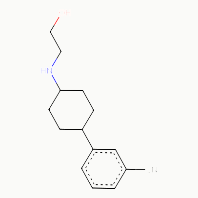 N#Cc1cccc(C2CCC(NCCO)CC2)c1